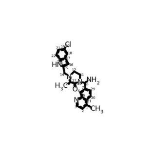 Cc1ccnc2cc(C(N)N3CCN(Cc4cc5cc(Cl)ccc5[nH]4)C(C)C3=O)ccc12